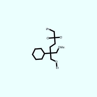 CCOCC(CCC(Cl)(Cl)CC(C)C)(COC)C1CCCCC1